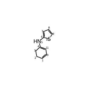 C1=CCCC(Nc2cccs2)=C1